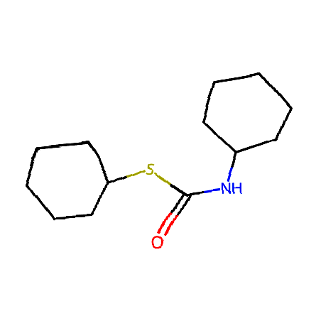 O=C(NC1CCCCC1)SC1CCCCC1